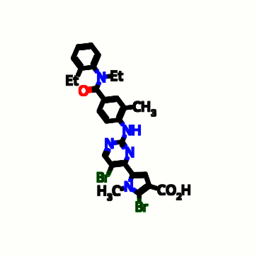 CCc1ccccc1N(CC)C(=O)c1ccc(Nc2ncc(Br)c(-c3cc(C(=O)O)c(Br)n3C)n2)c(C)c1